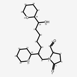 O=CC1CCC(=O)N1CC(CCCCC(O)C1CCCCO1)C1CCCCO1